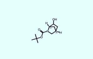 CC(C)(C)OC(=O)N1C[C@H]2CC(O)[C@@H]1C2